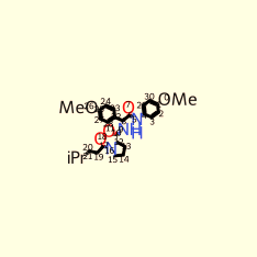 COc1ccc(NC(=O)[C@@H](NC(=O)[C@@H]2CCCN2C(=O)CCC(C)C)c2ccc(OC)cc2)cc1